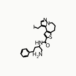 NCC(CCc1ccccc1)NC(=O)c1cc2c(s1)CCCn1ncc(CI)c1-2